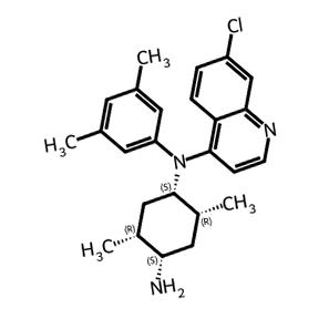 Cc1cc(C)cc(N(c2ccnc3cc(Cl)ccc23)[C@H]2C[C@@H](C)[C@@H](N)C[C@H]2C)c1